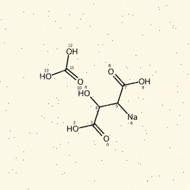 O=C(O)C(O)[CH]([Na])C(=O)O.O=C(O)O